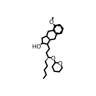 CCCCC[C@@H](CCC1C(O)CC2Cc3c(cccc3OC)CC21)OC1CCCCO1